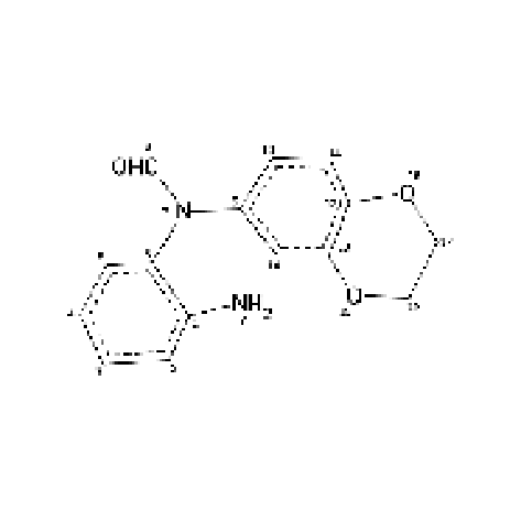 Nc1ccccc1N(C=O)c1ccc2c(c1)OCCO2